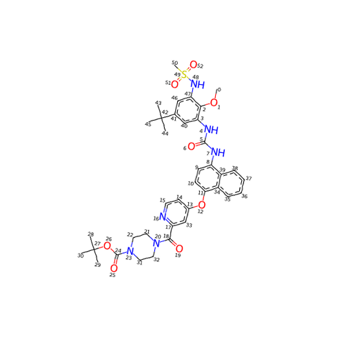 COc1c(NC(=O)Nc2ccc(Oc3ccnc(C(=O)N4CCN(C(=O)OC(C)(C)C)CC4)c3)c3ccccc23)cc(C(C)(C)C)cc1NS(C)(=O)=O